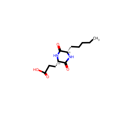 CCCCC[C@@H]1NC(=O)[C@H](CCC(=O)O)NC1=O